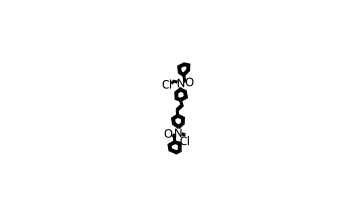 O=C(c1ccccc1)N(CCl)c1ccc(C=Cc2ccc(N(CCl)C(=O)c3ccccc3)cc2)cc1